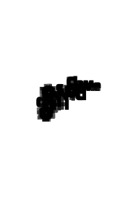 COc1c(Cl)cc(NC(=S)Nc2ccccc2NC(=O)c2ccccc2F)cc1Cl